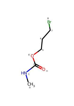 CNC(=O)OCCCBr